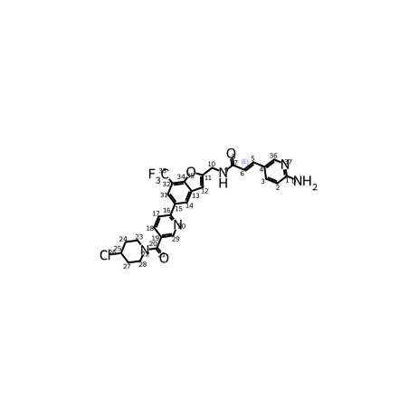 Nc1ccc(/C=C/C(=O)NCc2cc3cc(-c4ccc(C(=O)N5CCC(Cl)CC5)cn4)cc(C(F)(F)F)c3o2)cn1